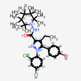 CCc1c(C(=O)NN2C(C)(C)C(C)(C)C(C)(C)C(C)(C)C2(C)C)nn(-c2ccc(Cl)cc2Cl)c1-c1ccc(Br)cc1